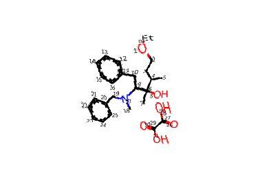 CCOCCC(C)C(C)(O)C(Cc1ccccc1)N(C)Cc1ccccc1.O=C(O)C(=O)O